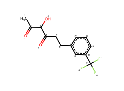 CC(=O)C(O)C(=O)CCc1cccc(C(F)(F)F)c1